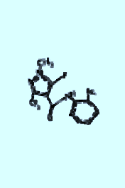 CC(=O)c1ccccc1NC(=O)c1c(C(F)(F)F)nn(C)c1F